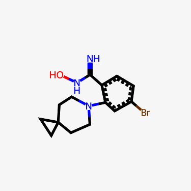 N=C(NO)c1ccc(Br)cc1N1CCC2(CC1)CC2